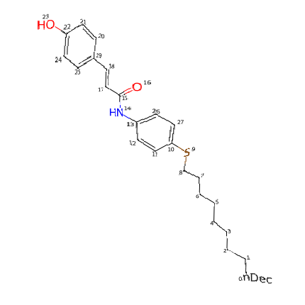 CCCCCCCCCCCCCCCCCCSc1ccc(NC(=O)C=Cc2ccc(O)cc2)cc1